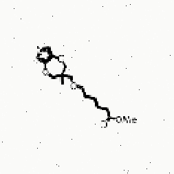 COC(=O)CCCCCOCC1(C)COc2cscc2OC1